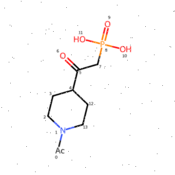 CC(=O)N1CCC(C(=O)CP(=O)(O)O)CC1